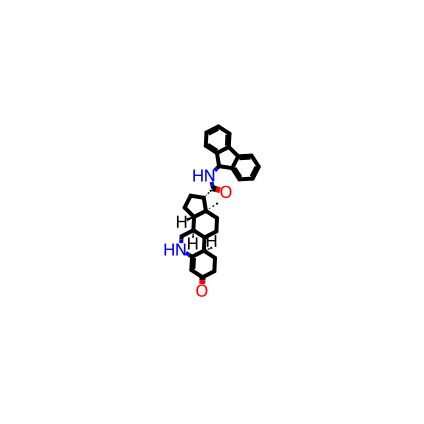 C[C@]12CC[C@H]3[C@@H](CNC4=CC(=O)CC[C@@]43C)[C@@H]1CC[C@@H]2C(=O)NC1c2ccccc2-c2ccccc21